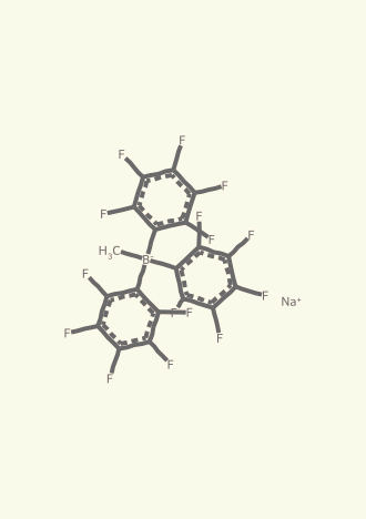 C[B-](c1c(F)c(F)c(F)c(F)c1F)(c1c(F)c(F)c(F)c(F)c1F)c1c(F)c(F)c(F)c(F)c1F.[Na+]